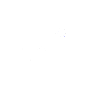 CC(C)CC(C)Oc1ccc(OCCSc2ncccn2)cc1